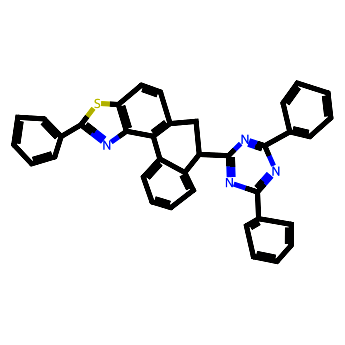 c1ccc(-c2nc(-c3ccccc3)nc(C3Cc4ccc5sc(-c6ccccc6)nc5c4-c4ccccc43)n2)cc1